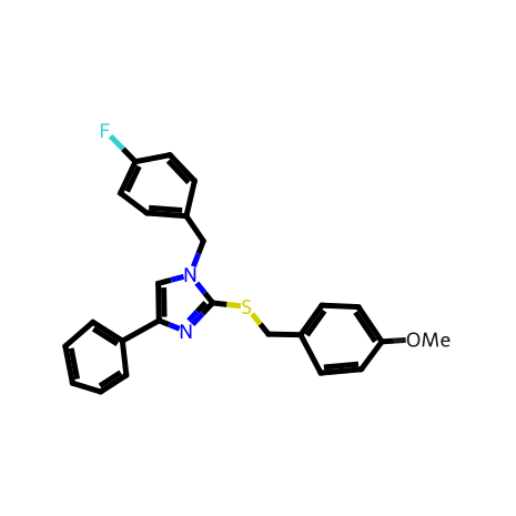 COc1ccc(CSc2nc(-c3ccccc3)cn2Cc2ccc(F)cc2)cc1